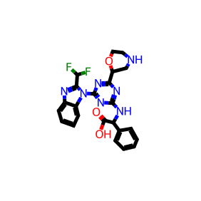 O=C(O)C(Nc1nc(C2CNCCO2)nc(-n2c(C(F)F)nc3ccccc32)n1)c1ccccc1